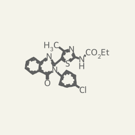 CCOC(=O)Nc1nc(C)c(-c2nc3ccccc3c(=O)n2-c2ccc(Cl)cc2)s1